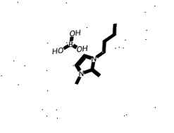 CCCCN1C=CN(C)C1C.OB(O)O